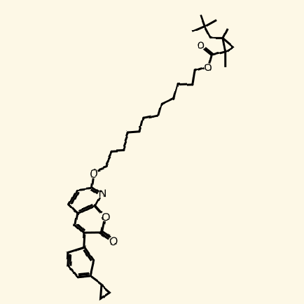 CC(C)(C)CC1(C)CC1(C)C(=O)OCCCCCCCCCCCCOc1ccc2cc(-c3cccc(C4CC4)c3)c(=O)oc2n1